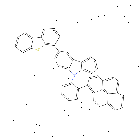 c1ccc(-n2c3ccccc3c3cc(-c4cccc5c4sc4ccccc45)ccc32)c(-c2ccc3ccc4cccc5ccc2c3c45)c1